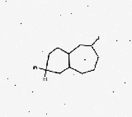 CCC1(C(C)C)CCC2CC(I)CCCC2C1